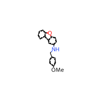 COc1ccc(CNc2ccc3oc4ccccc4c3c2)cc1